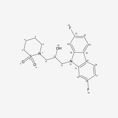 O=S1(=O)CCCCN1CC(O)Cn1c2cc(F)ccc2c2ccc(F)cc21